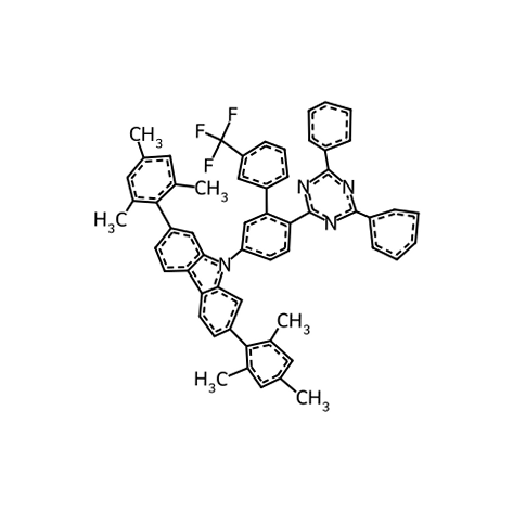 Cc1cc(C)c(-c2ccc3c4ccc(-c5c(C)cc(C)cc5C)cc4n(-c4ccc(-c5nc(-c6ccccc6)nc(-c6ccccc6)n5)c(-c5cccc(C(F)(F)F)c5)c4)c3c2)c(C)c1